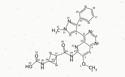 COc1cc2ncnc(-c3cn(C)nc3-c3ccccc3)c2nc1NC(=O)C12CC(NC(=O)O)(C1)C2